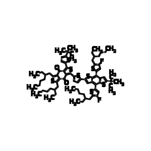 CCCCC(CC)Cc1sc(-c2c3cc(C(C)(C)C)sc3c(-c3cc(F)c(CC(CC)CCCC)s3)c3cc(-c4ccc(-c5sc(-c6ccc(C(C)(C)C)s6)c6c5C(=O)c5c(CC(CC)CCCC)sc(CC(CC)CCCC)c5C6=O)s4)sc23)cc1F